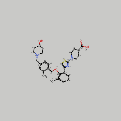 Cc1cc(CN2CCC(O)CC2)ccc1COc1c(C)cccc1-c1csc(N2CCC(C(=O)O)CC2)n1